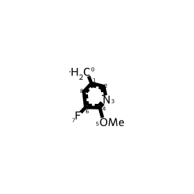 [CH2]c1cnc(OC)c(F)c1